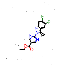 CCOC(=O)c1cnc(NC2(c3ccc(F)c(F)c3)CC2)nc1